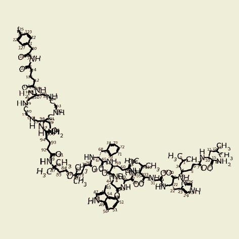 CC(C)C[C@@H](CCC(=O)N[C@@H](CC(C)C)C(N)=O)NC(=O)[C@H](Cc1c[nH]cn1)NC(=O)CNC(=O)[C@@H](NC(=O)[C@H](C)NC(=O)[C@H](Cc1c[nH]c2ccccc12)NC(=O)[C@H](CCC(N)=O)NC(=O)[C@@H](Cc1ccccc1)NC(=O)CCC(C)(C)OCCC(C)(C)NC(=O)CCCC(=O)NC1(CN)CNCCNCC(N)(NC(=O)CCCC(=O)NC(=O)Cc2ccc(I)cc2)CNCCNC1)C(C)C